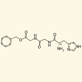 N[C@@H](Cc1c[nH]cn1)C(=O)NCC(=O)NCC(=O)OCc1ccccc1